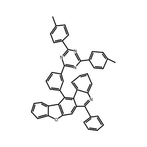 Cc1ccc(-c2nc(-c3ccc(C)cc3)nc(-c3cccc(-c4c5c(cc6c(-c7ccccc7)nc7ccccc7c46)oc4ccccc45)c3)n2)cc1